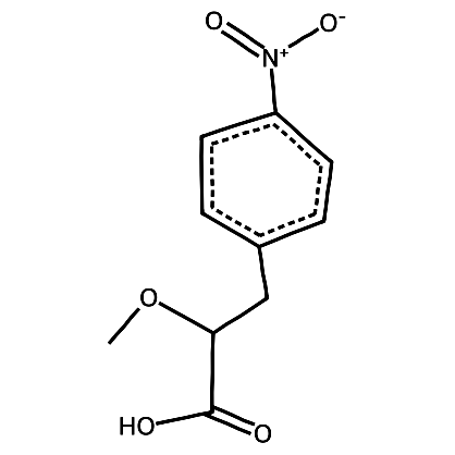 COC(Cc1ccc([N+](=O)[O-])cc1)C(=O)O